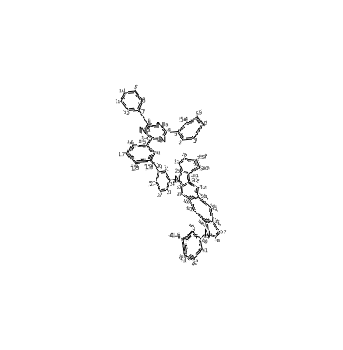 c1ccc(-c2nc(-c3ccccc3)nc(-c3cccc(-c4cccc(-n5c6ccccc6c6cc7cc8ccn(-c9ccccc9)c8cc7cc65)c4)c3)n2)cc1